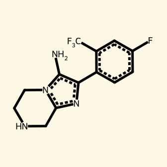 Nc1c(-c2ccc(F)cc2C(F)(F)F)nc2n1CCNC2